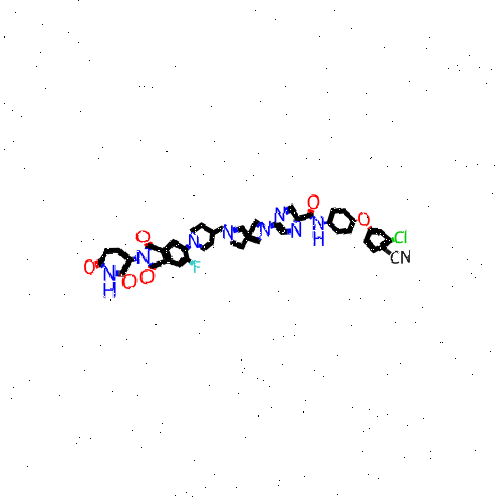 N#Cc1ccc(O[C@H]2CC[C@H](NC(=O)c3cnc(N4CC5(CCN(CC6CCN(c7cc8c(cc7F)C(=O)N(C7CCC(=O)NC7=O)C8=O)CC6)C5)C4)cn3)CC2)cc1Cl